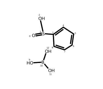 O=S(O)c1ccccc1.OB(O)O